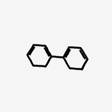 C1=CCCC(C2=CC=CCC2)=C1